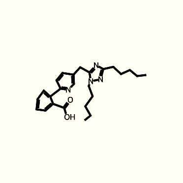 CCCCCc1nc(Cc2ccc(-c3ccccc3C(=O)O)nc2)n(CCCCC)n1